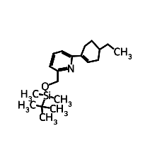 CCC1CC=C(c2cccc(CO[Si](C)(C)C(C)(C)C)n2)CC1